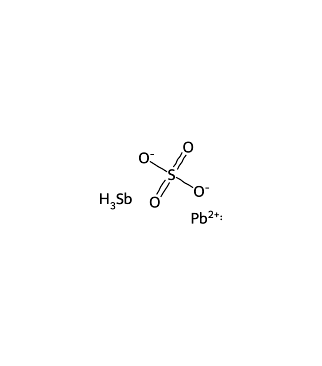 O=S(=O)([O-])[O-].[Pb+2].[SbH3]